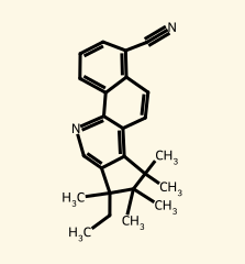 CCC1(C)c2cnc3c(ccc4c(C#N)cccc43)c2C(C)(C)C1(C)C